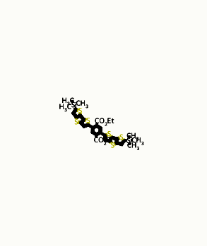 CCOC(=O)c1cc(-c2cc3sc4cc([Si](C)(C)C)sc4c3s2)c(C(=O)OCC)cc1-c1cc2sc3cc([Si](C)(C)C)sc3c2s1